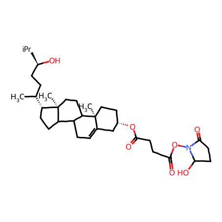 CC(CC[C@H](O)C(C)C)[C@H]1CCC2C3CC=C4C[C@@H](OC(=O)CCC(=O)ON5C(=O)CCC5O)CC[C@]4(C)C3CC[C@@]21C